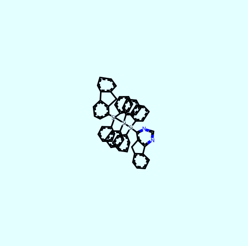 c1ccc([Si](c2ccccc2)(c2cccc3c2Cc2ccccc2-3)[Si](c2ccccc2)(c2ccccc2)[Si](c2ccccc2)(c2ccccc2)c2ncnc3c2Cc2ccccc2-3)cc1